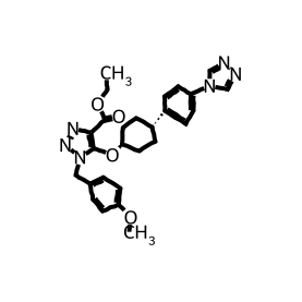 CCOC(=O)c1nnn(Cc2ccc(OC)cc2)c1O[C@H]1CC[C@H](c2ccc(-n3cnnc3)cc2)CC1